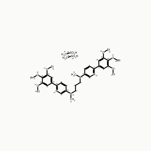 CCOc1cc(-c2ccc(N(C)CCCN(C)c3ccc(-c4cc(OCC)c(OC(C)C)c(OCC)c4)nc3)cn2)cc(OCC)c1OC(C)C.CS(=O)(=O)O.CS(=O)(=O)O